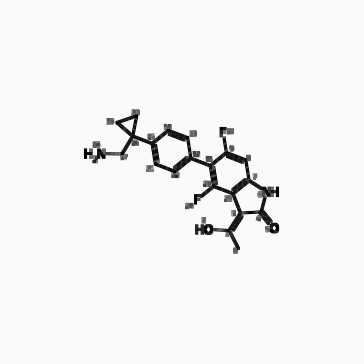 C/C(O)=C1\C(=O)Nc2cc(F)c(-c3ccc(C4(CN)CC4)cc3)c(F)c21